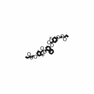 C=CC(=O)OCOc1ccc(C(=O)Oc2ccc(OC(=O)c3ccc(OCOC(=O)C=C)cc3F)c3c2C2CCC3C2)c(F)c1